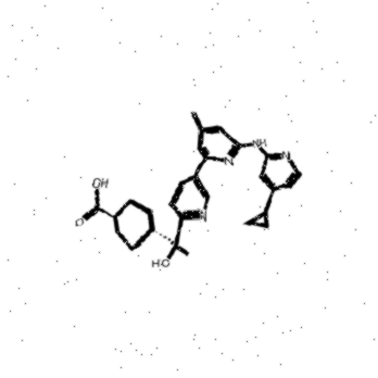 Cc1cc(Nc2cc(C3CC3)ccn2)nc(-c2ccc(C(C)(O)[C@H]3CC[C@H](C(=O)O)CC3)nc2)c1